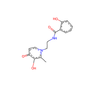 Cc1c(O)c(=O)ccn1CCNC(=O)c1ccccc1O